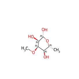 CO[C@H]1[C@@H](O)[C@H](O)O[C@H](C)[C@H]1O